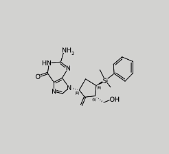 C=C1[C@@H](CO)[C@H]([Si](C)(C)c2ccccc2)C[C@H]1n1cnc2c(=O)[nH]c(N)nc21